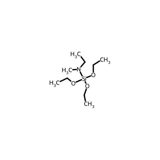 CCO[Si](OCC)(OCC)N(C)CC